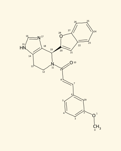 COc1cccc(/C=C/C(=O)N2CCc3[nH]cnc3[C@H]2c2cc3ccccc3o2)c1